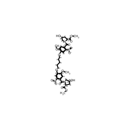 COC(=O)[C@@H]1C[C@@H](O)CN1C(=O)c1cc(OC)c(OCCCCCOc2cc([N+](=O)[O-])c(C(=O)N3C[C@H](O)C[C@H]3C(=O)OC)cc2OC)cc1[N+](=O)[O-]